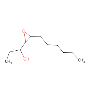 CCCCCCC1OC1C(O)CC